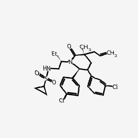 C=CC[C@@]1(C)CC(c2cccc(Cl)c2)[C@@H](c2ccc(Cl)cc2)N([C@@H](CC)CNS(=O)(=O)C2CC2)C1=O